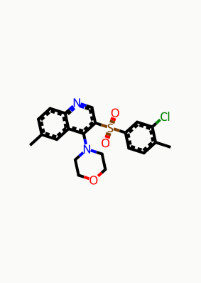 Cc1ccc2ncc(S(=O)(=O)c3ccc(C)c(Cl)c3)c(N3CCOCC3)c2c1